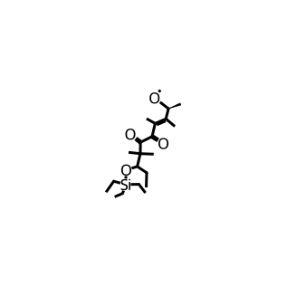 CCC(O[Si](CC)(CC)CC)C(C)(C)C(=O)C(=O)/C(C)=C(\C)[C@H](C)OC